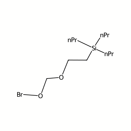 CCC[Si](CCC)(CCC)CCOCOBr